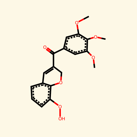 COc1cc(C(=O)C2=Cc3cccc(OO)c3OC2)cc(OC)c1OC